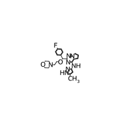 Cc1cc(Nc2nc(C(OCCN3CCOCC3)c3ccc(F)cc3)nn3cccc23)n[nH]1